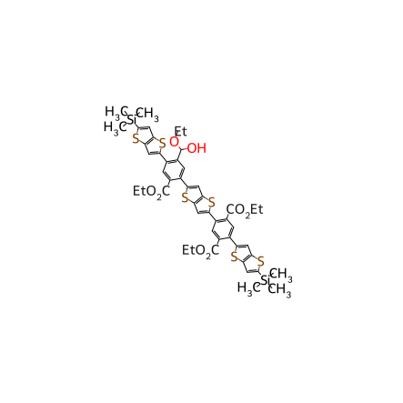 CCOC(=O)c1cc(-c2cc3sc([Si](C)(C)C)cc3s2)c(C(=O)OCC)cc1-c1cc2sc(-c3cc(C(O)OCC)c(-c4cc5sc([Si](C)(C)C)cc5s4)cc3C(=O)OCC)cc2s1